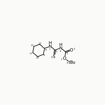 CC(C)(C)OC(=O)NC(=S)NC1CCCCC1